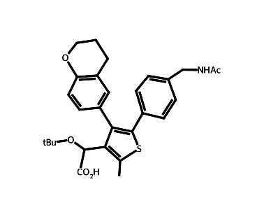 CC(=O)NCc1ccc(-c2sc(C)c(C(OC(C)(C)C)C(=O)O)c2-c2ccc3c(c2)CCCO3)cc1